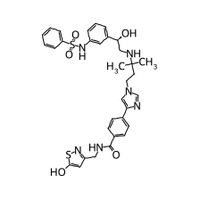 CC(C)(CCn1cnc(-c2ccc(C(=O)NCc3cc(O)sn3)cc2)c1)NC[C@H](O)c1cccc(NS(=O)(=O)c2ccccc2)c1